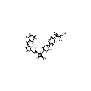 O=C(NO)c1cnc(N2CCN(c3c(NCC4CCN(Cc5ccccc5)C4)c(=O)c3=O)CC2)nc1